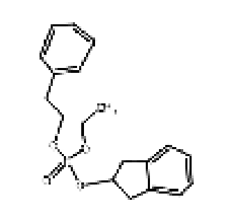 CCOP(=O)(OCCc1ccccc1)OC1Cc2ccccc2C1